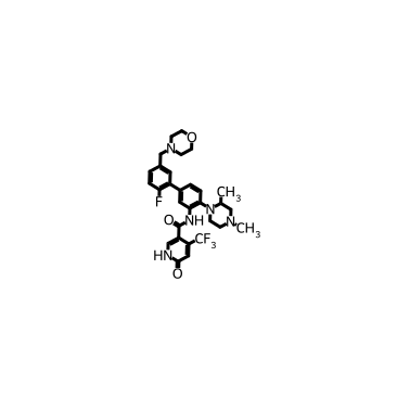 CC1CN(C)CCN1c1ccc(-c2cc(CN3CCOCC3)ccc2F)cc1NC(=O)c1c[nH]c(=O)cc1C(F)(F)F